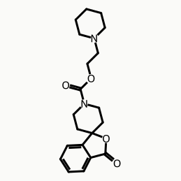 O=C1OC2(CCN(C(=O)OCCN3CCCCC3)CC2)c2ccccc21